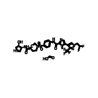 Cn1c(-c2cn(CC(F)F)nc2C(F)(F)F)cnc1C(=O)Nc1ccc(S(=O)(=O)N2CCN(C(=O)N[C@@H]3CNC[C@H]3O)CC2)cc1.O=CO